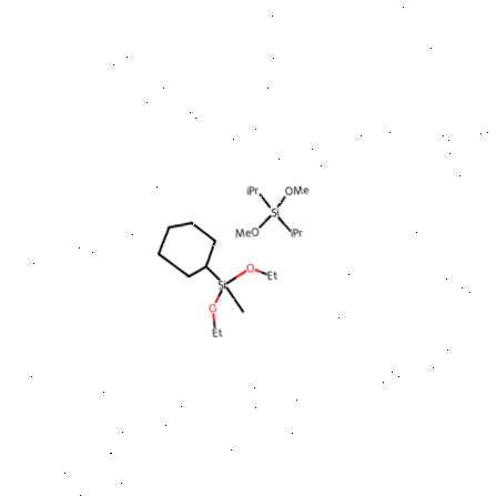 CCO[Si](C)(OCC)C1CCCCC1.CO[Si](OC)(C(C)C)C(C)C